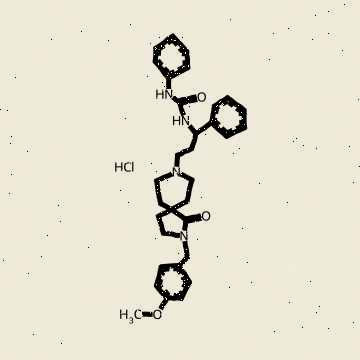 COc1ccc(CN2CCC3(CCN(CCC(NC(=O)Nc4ccccc4)c4ccccc4)CC3)C2=O)cc1.Cl